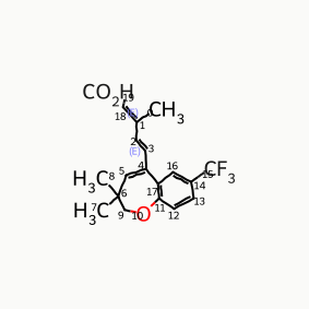 CC(/C=C/C1=CC(C)(C)COc2ccc(C(F)(F)F)cc21)=C\C(=O)O